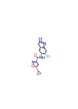 O=C(Nc1cc2c[nH]nc2cc1Cl)c1cc(C2CC2)on1